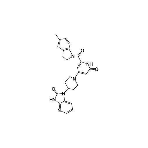 Cc1ccc2c(c1)CCN2C(=O)c1cc(N2CCC(n3c(=O)[nH]c4ncccc43)CC2)cc(=O)[nH]1